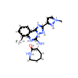 Cn1ccc(-c2nc3c4cccc(C(F)(F)F)c4nc(N[C@@H]4CCCCNC4=O)n3n2)n1